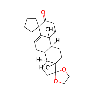 CC12CCC(=O)C3(CCCC3)C1=CCC1[C@@H]2CCC2(C)[C@H]1CCC21OCCO1